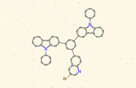 Brc1cnc2ccc(-c3cc(-c4ccc5c(c4)c4ccccc4n5-c4ccccc4)cc(-c4ccc5c6ccccc6n(-c6ccccc6)c5c4)c3)cc2c1